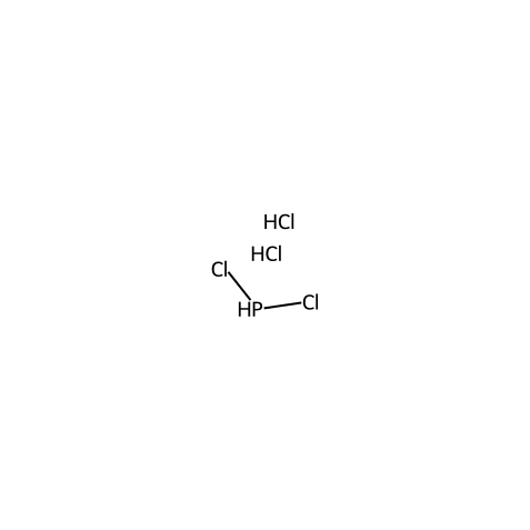 Cl.Cl.ClPCl